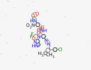 CC1(C)CCC(CN2CCN(c3ccc(C(=O)NS(=O)(=O)c4ccc(NCC5(F)COCCO5)c([N+](=O)[O-])c4)c(N4CCC(F)(F)Oc5nc6[nH]ccc6cc54)c3)CC2)=C(c2ccc(Cl)cc2)C1